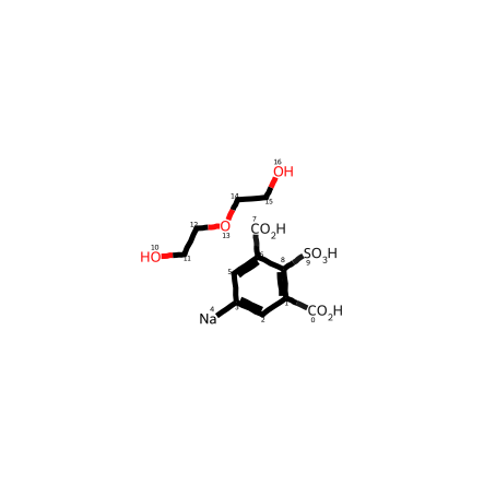 O=C(O)c1c[c]([Na])cc(C(=O)O)c1S(=O)(=O)O.OCCOCCO